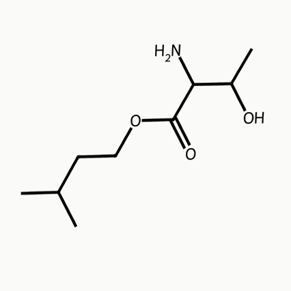 CC(C)CCOC(=O)C(N)C(C)O